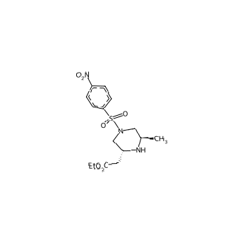 CCOC(=O)C[C@@H]1CN(S(=O)(=O)c2ccc([N+](=O)[O-])cc2)C[C@@H](C)N1